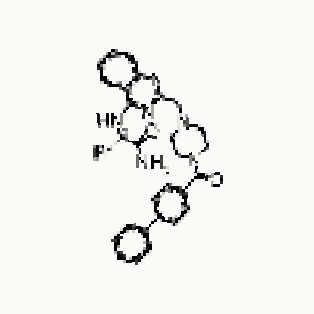 CC(C)[C@H](Nc1nc(CN2CCN(C(=O)c3ccc(-c4ccccc4)cc3)CC2)nc2ccccc12)C(N)=O